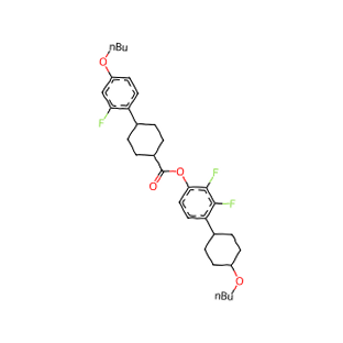 CCCCOc1ccc(C2CCC(C(=O)Oc3ccc(C4CCC(OCCCC)CC4)c(F)c3F)CC2)c(F)c1